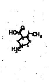 CCC1CCN(C)CC1C(=O)O